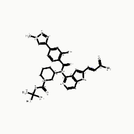 Cn1cc(-c2ccc(C(=O)N(c3nccc4sc(/C=C/C(N)=O)cc34)[C@@H]3CCCN(C(=O)OC(C)(C)C)C3)c(F)c2)nn1